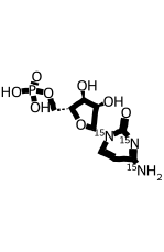 [15NH2]c1cc[15n]([C@@H]2O[C@H](COP(=O)(O)O)[C@@H](O)[C@H]2O)c(=O)[15n]1